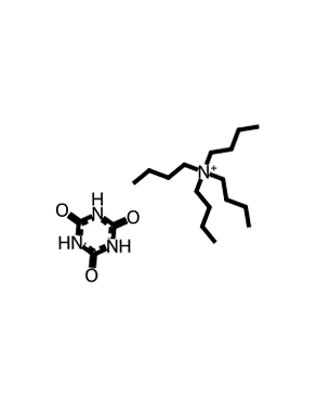 CCCC[N+](CCCC)(CCCC)CCCC.O=c1[nH]c(=O)[nH]c(=O)[nH]1